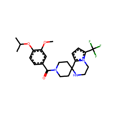 COc1cc(C(=O)N2CCC3(CC2)NCCn2c(C(F)(F)F)ccc23)ccc1OC(C)C